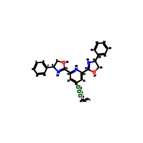 [Cl-].[Cl-].[Cl-].[Nd+3].c1ccc(C2COC(c3cccc(C4=NC(c5ccccc5)CO4)n3)=N2)cc1